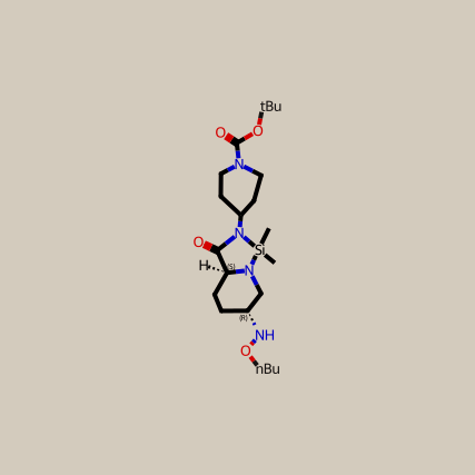 CCCCON[C@@H]1CC[C@H]2C(=O)N(C3CCN(C(=O)OC(C)(C)C)CC3)[Si](C)(C)N2C1